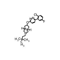 CC(C)(C)CCN1C[C@H]2CC(Oc3ccc(-c4cc(F)ccc4Cl)nn3)C[C@H]2C1